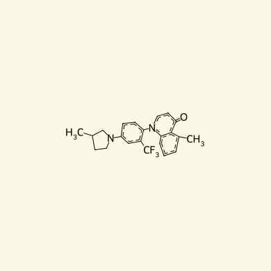 Cc1cccc2c1c(=O)ccn2-c1ccc(N2CCC(C)C2)cc1C(F)(F)F